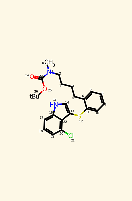 CN(CCCCc1ccccc1Sc1c[nH]c2cccc(Cl)c12)C(=O)OC(C)(C)C